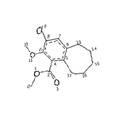 COC(=O)c1c2c(cc(Cl)c1OC)CCCCC2